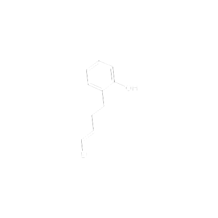 CCC=CCCc1ccccc1O